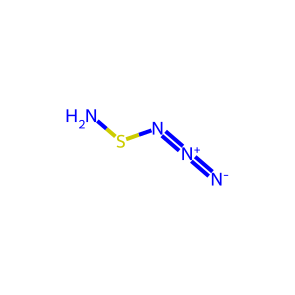 [N-]=[N+]=NSN